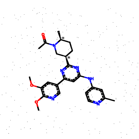 COc1cc(-c2cc(Nc3ccnc(C)c3)nc([C@@H]3CC[C@H](C)N(C(C)=O)C3)n2)cnc1OC